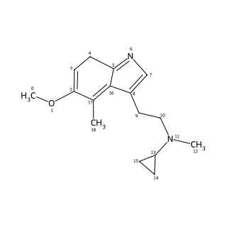 COC1=CCC2=NC=C(CCN(C)C3CC3)C2=C1C